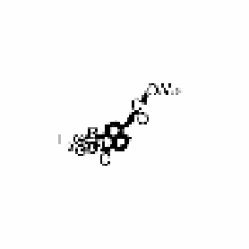 COCCOC(=O)/C=C/c1ccc2c3c(cccc13)C(=O)N(OS(=O)(=O)C(F)(F)F)C2=O